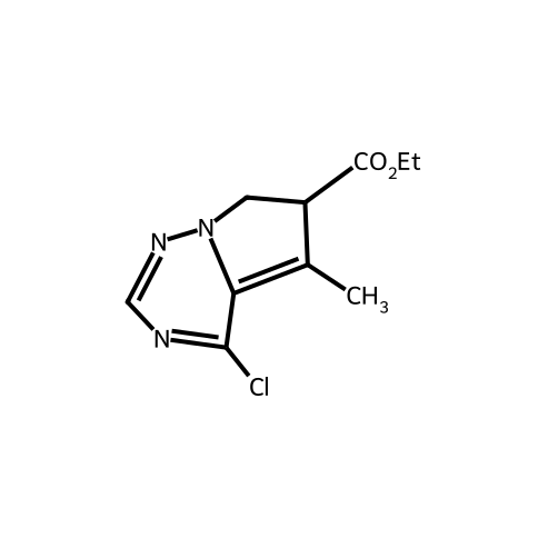 CCOC(=O)C1CN2N=CN=C(Cl)C2=C1C